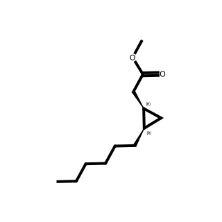 CCCCCC[C@@H]1C[C@@H]1CC(=O)OC